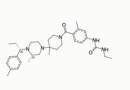 CCNC(=O)Nc1ccc(C(=O)N2CCC(C)(N3CCN([C@@H](CC)c4ccc(C)cc4)[C@@H](C)C3)CC2)c(C)c1